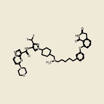 CN(CCCCCc1cccc(Oc2cccc3c2C(=O)NC(=O)C3)c1)CC1CCC(n2cc(NC(=O)c3cnn4ccc(N5CCOCC5)nc34)c(C(F)F)n2)CC1